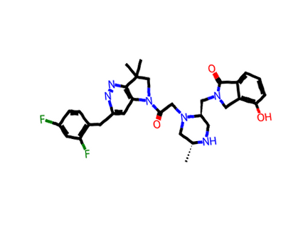 C[C@@H]1CN(CC(=O)N2CC(C)(C)c3nnc(Cc4ccc(F)cc4F)cc32)[C@@H](CN2Cc3c(O)cccc3C2=O)CN1